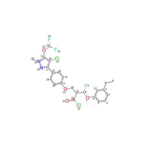 CCc1cccc(OC(F)C(COc2ccc(-c3nn(C)c(OC(F)F)c3Cl)cc2)C(=O)Cl)c1